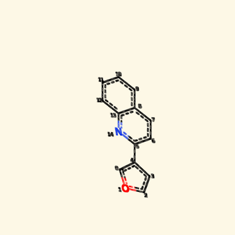 [c]1occc1-c1ccc2ccccc2n1